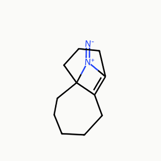 [N-]=[N+]1C2=C3CCCCCC31CCC2